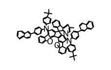 Cc1cnc2c(c1)-c1ccccc1C21c2cc(N(c3ccc(-c4ccc5ccccc5c4)cc3)c3ccc(C(C)(C)C)cc3)c3c(c2-c2c1cc(N(c1ccc(-c4ccc5ccccc5c4)cc1)c1ccc(C(C)(C)C)cc1)c1c2oc2ccccc21)OC1C=CC=CC31